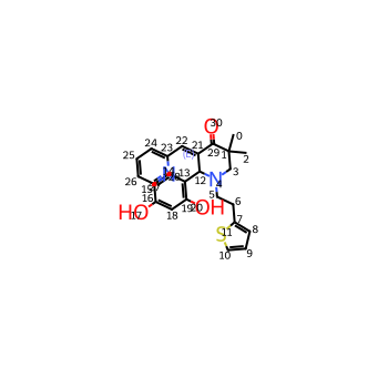 CC1(C)CN(CCc2cccs2)C(c2ccc(O)cc2O)/C(=C\c2ccccn2)C1=O